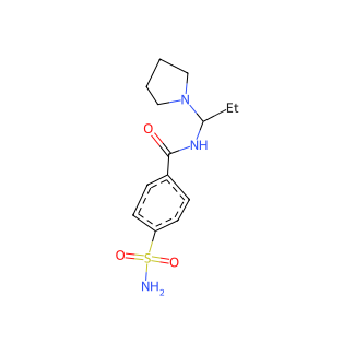 CCC(NC(=O)c1ccc(S(N)(=O)=O)cc1)N1CCCC1